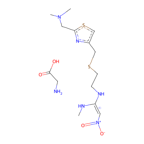 CN/C(=C\[N+](=O)[O-])NCCSCc1csc(CN(C)C)n1.NCC(=O)O